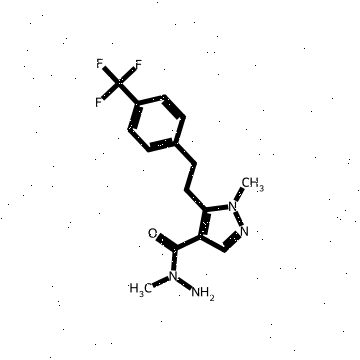 CN(N)C(=O)c1cnn(C)c1CCc1ccc(C(F)(F)F)cc1